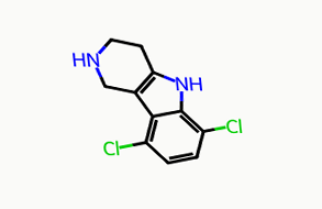 Clc1ccc(Cl)c2c3c([nH]c12)CCNC3